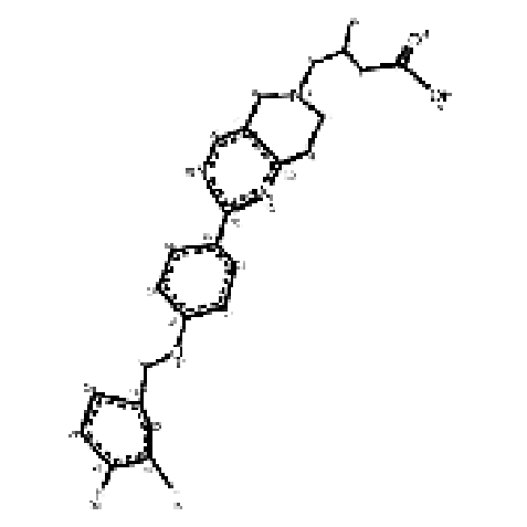 CC(CC(=O)O)CN1CCc2nc(-c3ccc(OCc4ccc(F)c(F)c4)cc3)ncc2C1